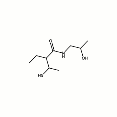 CCC(C(=O)NCC(C)O)C(C)S